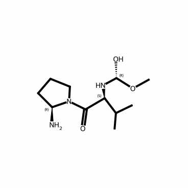 CO[C@@H](O)N[C@H](C(=O)N1CCC[C@@H]1N)C(C)C